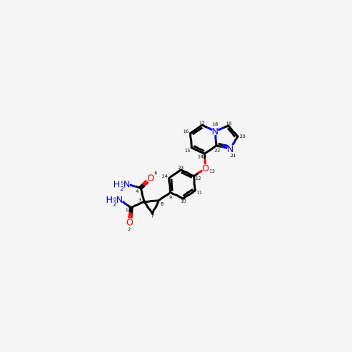 NC(=O)C1(C(N)=O)CC1c1ccc(Oc2cccn3ccnc23)cc1